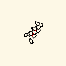 C1=CC2=CC=CC(c3ccc(-c4ccc5c(c4)c4ccccc4n5-c4ccccc4)cc3)C2C(c2ccc(-c3ccncc3)cc2)=C1